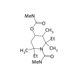 CCC1(C)CC(OC(=O)NC)C(C)C(C)(CC)N1C(=O)NC